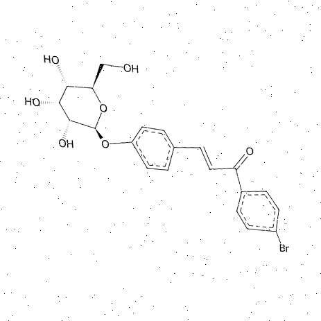 O=C(/C=C/c1ccc(O[C@@H]2O[C@H](CO)[C@@H](O)[C@@H](O)[C@H]2O)cc1)c1ccc(Br)cc1